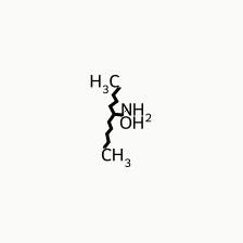 CCCCCCC(CCCCC)[C@H](N)O